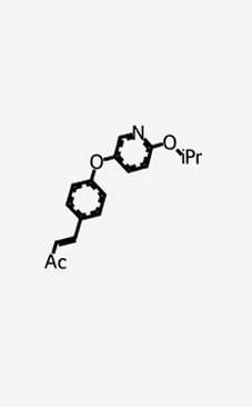 CC(=O)C=Cc1ccc(Oc2ccc(OC(C)C)nc2)cc1